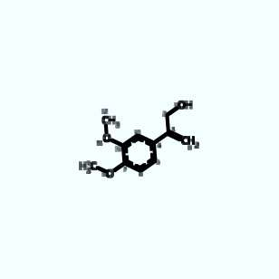 C=C(CO)c1ccc(OC)c(OC)c1